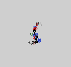 COCCNC(=O)Oc1ccc(-c2[nH]c([C@@H]3CCc4cc(-c5cc(OC)ccc5-n5cnnn5)cc(=O)n43)nc2Cl)cc1